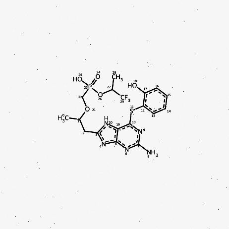 CC(Cc1nc2nc(N)nc(Sc3ccccc3O)c2[nH]1)OCP(=O)(O)OC(C)C(F)(F)F